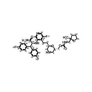 CC1(CNC(=O)OC[C@@H]2CNC[C@@H](CCc3c(F)cncc3N[C@H](C(N)=O)C(c3ccc(F)cc3)c3ccc(F)cc3)O2)CCCO1